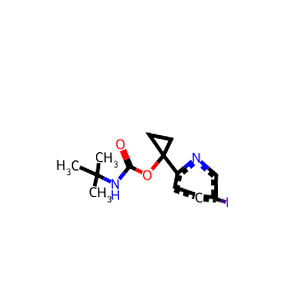 CC(C)(C)NC(=O)OC1(c2ccc(I)cn2)CC1